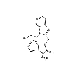 CC(C)CCn1c(Cn2c(=O)n(C(=O)O)c3ccccc32)nc2ccccc21